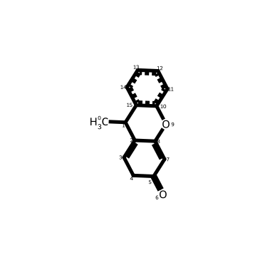 CC1C2=CCC(=O)C=C2Oc2ccccc21